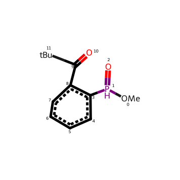 CO[PH](=O)c1ccccc1C(=O)C(C)(C)C